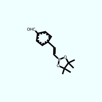 CC1(C)OB(C=Cc2ccc(C=O)cc2)OC1(C)C